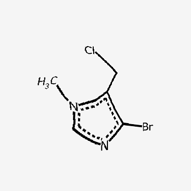 Cn1cnc(Br)c1CCl